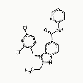 CCc1nc2ccc(C(=O)Nc3ccccn3)cc2n1Cc1ccc(Cl)cc1Cl